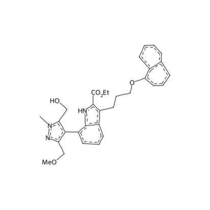 CCOC(=O)c1[nH]c2c(-c3c(COC)nn(C)c3CO)cccc2c1CCCOc1cccc2ccccc12